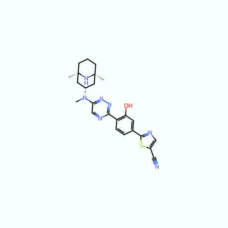 CN(c1cnc(-c2ccc(-c3ncc(C#N)s3)cc2O)nn1)[C@H]1C[C@]2(C)CCC[C@](C)(C1)N2